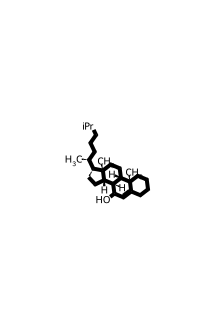 CC(C)CCC[C@@H](C)[C@H]1CC[C@H]2[C@@H]3C(O)C=C4CCCC[C@]4(C)[C@H]3CC[C@]12C